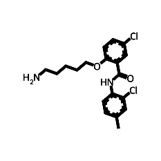 Cc1ccc(NC(=O)c2cc(Cl)ccc2OCCCCCN)c(Cl)c1